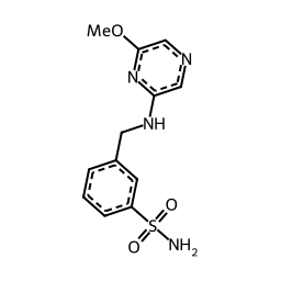 COc1cncc(NCc2cccc(S(N)(=O)=O)c2)n1